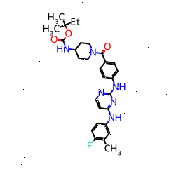 CCC(C)(C)OC(=O)NC1CCN(C(=O)c2ccc(Nc3nccc(Nc4ccc(F)c(C)c4)n3)cc2)CC1